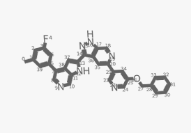 Cc1cc(F)cc(-c2cncc3[nH]c(-c4n[nH]c5cnc(-c6cncc(OCc7ccccc7)c6)cc45)cc23)c1